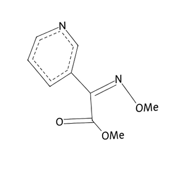 CON=C(C(=O)OC)c1cccnc1